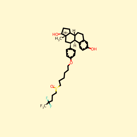 C[C@]12C[C@H](c3ccc(OCCCCCC[S+]([O-])CCCC(F)(F)C(F)(F)F)cc3)[C@@H]3c4ccc(O)cc4CC[C@H]3[C@@H]1CC[C@@H]2O